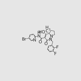 C[C@]12CCCN1N(Cc1cccc(F)c1F)C(=O)C(C(=O)Nc1ccc(Br)cn1)=C2O